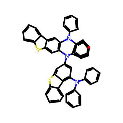 c1ccc(N(c2cc(N(c3ccccc3)c3ccccc3)c3c(c2)sc2ccccc23)c2cc3sc4ccccc4c3cc2N(c2ccccc2)c2ccccc2)cc1